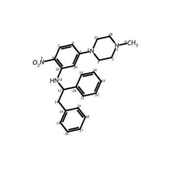 CN1CCN(c2ccc([N+](=O)[O-])c(NC(Cc3ccccc3)c3ccccc3)c2)CC1